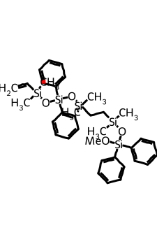 C=C[Si](C)(C)O[Si](O[Si](C)(C)CC[Si](C)(C)O[Si](OC)(c1ccccc1)c1ccccc1)(c1ccccc1)c1ccccc1